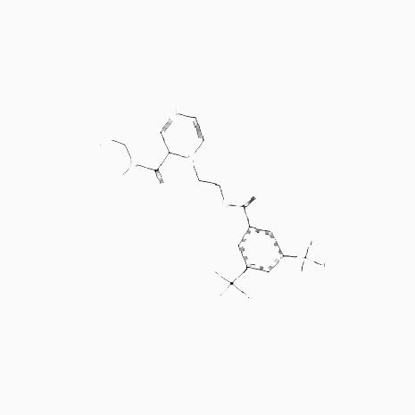 CCN(C)C(=O)C1C=NC=CN1CCNC(=O)c1cc(C(F)(F)F)cc(C(F)(F)F)c1